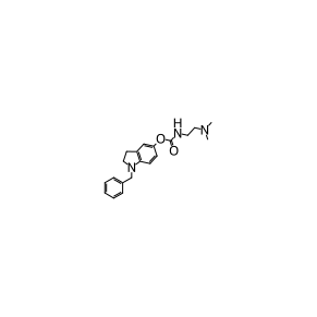 CN(C)CCNC(=O)Oc1ccc2c(c1)CCN2Cc1ccccc1